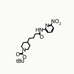 CC(C)(C)OC(=O)N1CCC(CCCC(=O)Nc2cccc([N+](=O)[O-])n2)CC1